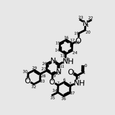 C=CC(=O)NC1=CC(Oc2nc(Nc3cccc(OCCN(C)C)c3)ncc2C2=CCOCC2)C(C)C=C1